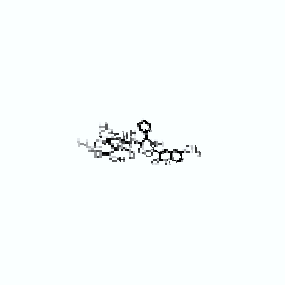 Cc1ccc2oc(=O)c(C(=O)NC(C(=O)N[C@@H]3C(=O)N4[C@@H]3SC(C)(C)[C@@H]4C(=O)O)c3ccccc3)cc2c1